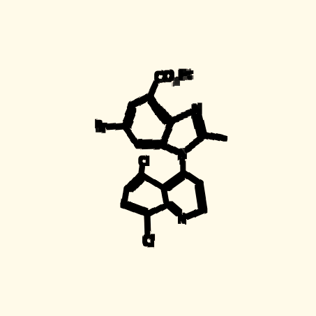 CCOC(=O)c1cc(Br)cc2c1nc(C)n2-c1ccnc2c(Cl)ccc(Cl)c12